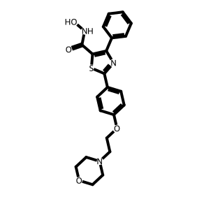 O=C(NO)c1sc(-c2ccc(OCCN3CCOCC3)cc2)nc1-c1ccccc1